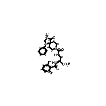 CCN1CN(c2ccccc2)C2(CCN(C(=O)NCC(NC(=O)c3c(C)cccc3C)C(=O)O)CC2)C1=O